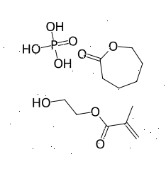 C=C(C)C(=O)OCCO.O=C1CCCCCO1.O=P(O)(O)O